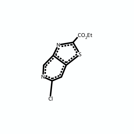 CCOC(=O)c1nc2cnc(Cl)cc2s1